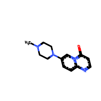 CN1CCN(c2ccc3nccc(=O)n3c2)CC1